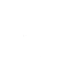 Cc1cc(COc2ccccc2)c(C)s1